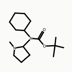 CN1CCCC1N(C(=O)OC(C)(C)C)C1CCCCC1